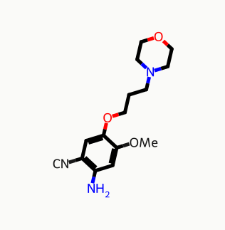 [C-]#[N+]c1cc(OCCCN2CCOCC2)c(OC)cc1N